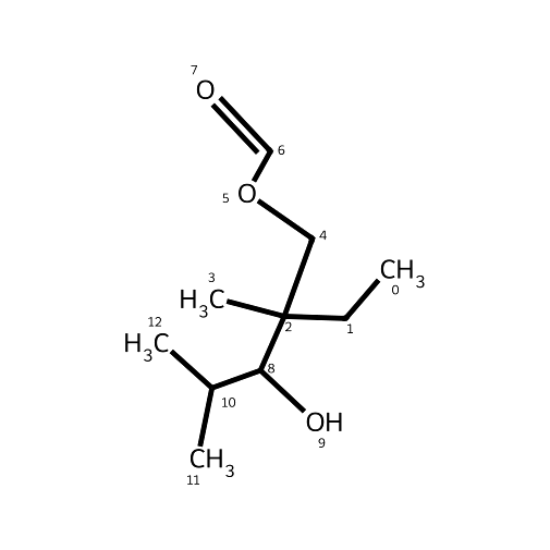 CCC(C)(COC=O)C(O)C(C)C